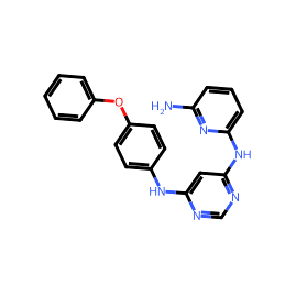 Nc1cccc(Nc2cc(Nc3ccc(Oc4ccccc4)cc3)ncn2)n1